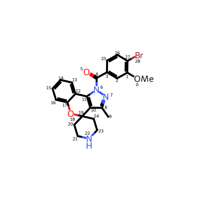 COc1cc(C(=O)n2nc(C)c3c2-c2ccccc2OC32CCNCC2)ccc1Br